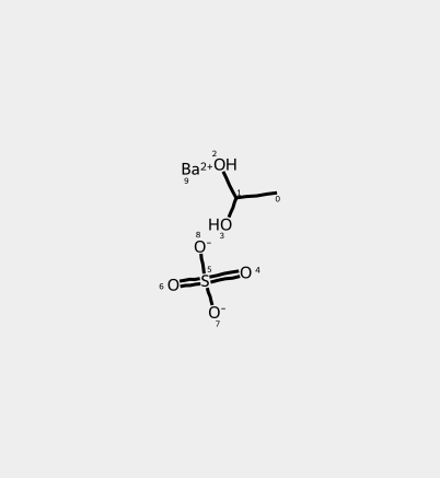 CC(O)O.O=S(=O)([O-])[O-].[Ba+2]